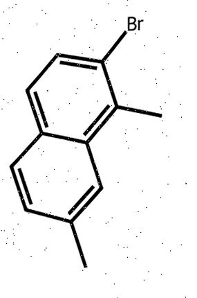 Cc1ccc2ccc(Br)c(C)c2c1